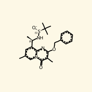 Cc1cc([C@@H](C)N[S@+]([O-])C(C)(C)C)c2nc(OCc3ccccc3)c(C)c(=O)n2c1